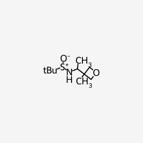 CC(N[S+]([O-])C(C)(C)C)C1(C)COC1